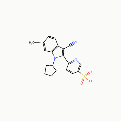 Cc1ccc2c(C#N)c(-c3ccc(S(=O)(=O)O)cn3)n(C3CCCC3)c2c1